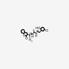 CC(=NNC(=S)NN=Cc1cc(Cl)ccc1O)c1cc2ccccc2oc1=O